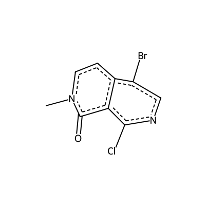 Cn1ccc2c(Br)cnc(Cl)c2c1=O